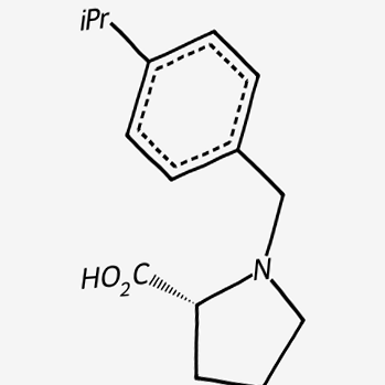 CC(C)c1ccc(CN2CCC[C@@H]2C(=O)O)cc1